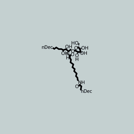 CCCCCCCCCCCCCCC(O)C(O)C(CO[C@H]1O[C@H](CO)[C@H](O)[C@H](O)[C@H]1O)NC(=O)CCCCCCCCCCCNC(=O)CCCCCCCCCCCC